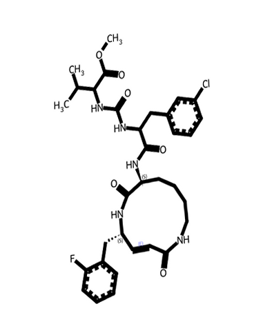 COC(=O)C(NC(=O)NC(Cc1cccc(Cl)c1)C(=O)N[C@H]1CCCCNC(=O)/C=C/[C@H](Cc2ccccc2F)NC1=O)C(C)C